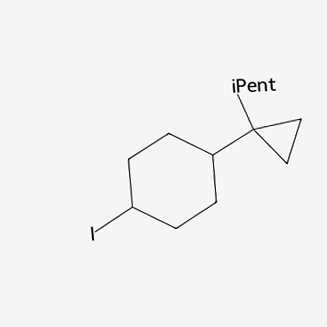 CCCC(C)C1(C2CCC(I)CC2)CC1